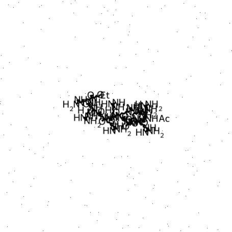 CCOCCNC(=O)C(CCCNC(=N)N)NC(=O)[C@@H](CCCNC(=N)N)NC(=O)CNC(=O)CNC(=O)C(CCCNC(=N)N)NC(=O)[C@@H](CCCNC(=N)N)NC(=O)C(CCCNC(=N)N)NC(=O)CNC(=O)CNC(=O)[C@@H](CCCNC(=N)N)NC(=O)C(CCCNC(=N)N)NC(=O)[C@@H](CCCNC(=N)N)NC(C)=O